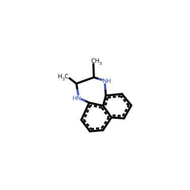 CC1Nc2cccc3cccc(c23)NC1C